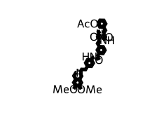 COc1cc2c(cc1OC)CN(CCc1ccc(NC(=O)c3cccc(/C=c4\[nH]c(=O)/c(=C/c5cccc(OC(C)=O)c5)n(C)c4=O)c3)cc1)CC2